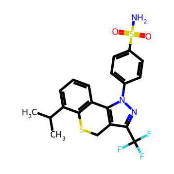 CC(C)c1cccc2c1SCc1c(C(F)(F)F)nn(-c3ccc(S(N)(=O)=O)cc3)c1-2